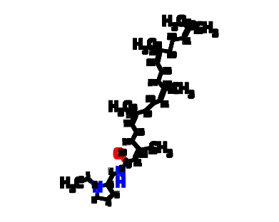 CCN1CCCC1CNC(=O)C=C(C)CCC=C(C)CCC=C(C)CCC=C(C)CCC=C(C)C